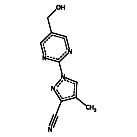 Cc1cn(-c2ncc(CO)cn2)nc1C#N